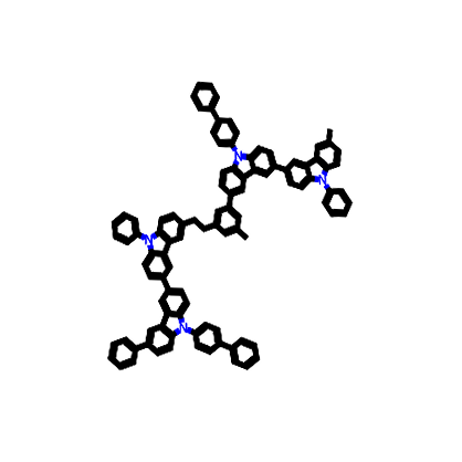 Cc1cc(CCc2ccc3c(c2)c2cc(-c4ccc5c(c4)c4cc(-c6ccccc6)ccc4n5-c4ccc(-c5ccccc5)cc4)ccc2n3-c2ccccc2)cc(-c2ccc3c(c2)c2cc(-c4ccc5c(c4)c4cc(C)ccc4n5-c4ccccc4)ccc2n3-c2ccc(-c3ccccc3)cc2)c1